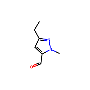 CCc1cc([C]=O)n(C)n1